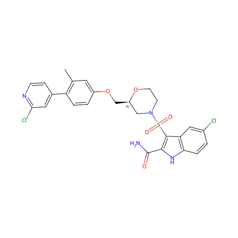 Cc1cc(OC[C@@H]2CN(S(=O)(=O)c3c(C(N)=O)[nH]c4ccc(Cl)cc34)CCO2)ccc1-c1ccnc(Cl)c1